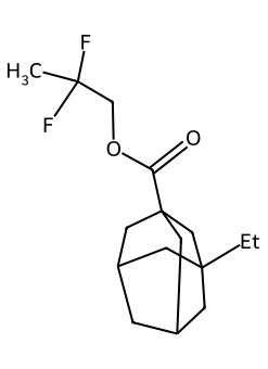 CCC12CC3CC(C1)CC(C(=O)OCC(C)(F)F)(C3)C2